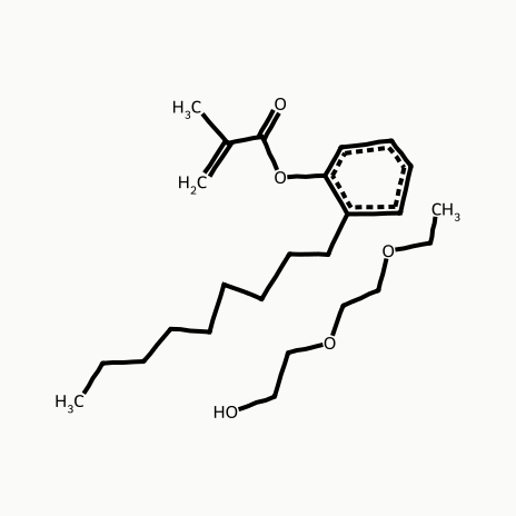 C=C(C)C(=O)Oc1ccccc1CCCCCCCCC.CCOCCOCCO